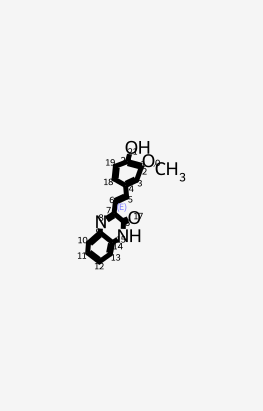 COc1cc(/C=C/c2nc3ccccc3[nH]c2=O)ccc1O